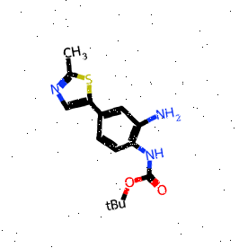 Cc1ncc(-c2ccc(NC(=O)OC(C)(C)C)c(N)c2)s1